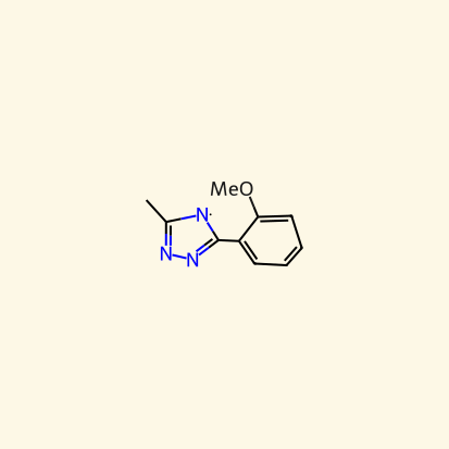 COc1ccccc1C1=NN=C(C)[N]1